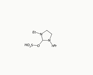 CCCN1CCN(CC)C1OS(=O)(=O)O